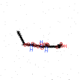 [CH2]C(CCCCCCCCCCCCCC)OCCOCCNC(=O)COCCOCCNC(=O)CC[C@H](NC(=O)CCCCCCCCOc1ccc(C(=O)O)cc1)C(=O)O